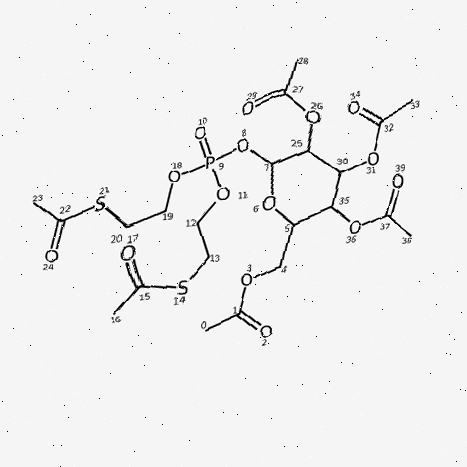 CC(=O)OCC1OC(OP(=O)(OCCSC(C)=O)OCCSC(C)=O)C(OC(C)=O)C(OC(C)=O)C1OC(C)=O